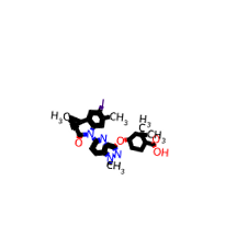 CC#CC(=O)N(c1ccc2c(n1)c(OC1CCC(C(=O)O)C(C)(C)C1)nn2C)c1cc(C)c(I)cc1C1CC1